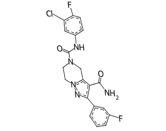 NC(=O)c1c(-c2cccc(F)c2)nn2c1CN(C(=O)Nc1ccc(F)c(Cl)c1)CC2